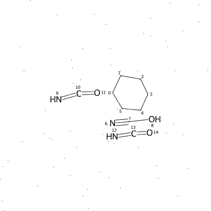 C1CCCCC1.N#CO.N=C=O.N=C=O